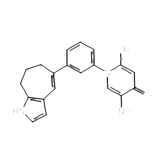 Cc1cc(=O)c(N=O)cn1-c1cccc(C2=Cc3cc[nH]c3CCC2)c1